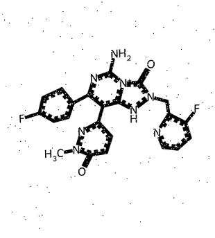 Cn1nc(-c2c(-c3ccc(F)cc3)nc(N)[n+]3c(=O)n(Cc4ncccc4F)[nH]c23)ccc1=O